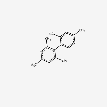 Cc1cc(C)c(-c2ccc(C)cc2C#N)c(O)c1